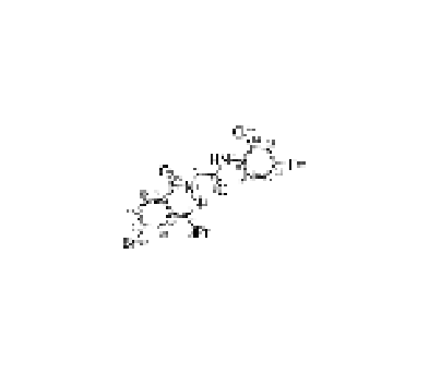 CC(C)c1nn(CC(=O)Nc2ncc(F)cc2Cl)c(=O)c2ccc(Br)cc12